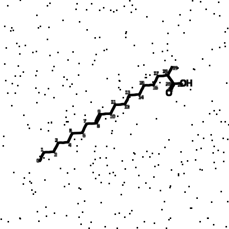 CCCCCCCCC=CCCCCCCCCC(C)C(=O)O